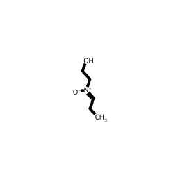 CCC=[N+]([O-])CCO